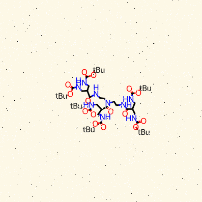 CC(C)(C)OC(=O)NCC(CNC(=O)OC(C)(C)C)C(=O)NCCN(CCNC(=O)C(CNC(=O)OC(C)(C)C)CNC(=O)OC(C)(C)C)C(=O)C(CNC(=O)OC(C)(C)C)CNC(=O)OC(C)(C)C